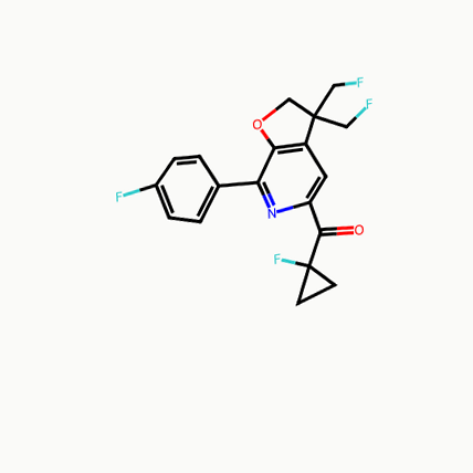 O=C(c1cc2c(c(-c3ccc(F)cc3)n1)OCC2(CF)CF)C1(F)CC1